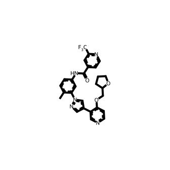 Cc1ccc(NC(=O)c2ccnc(C(F)(F)F)c2)cc1-n1cc(-c2cnccc2OCC2CCCO2)cn1